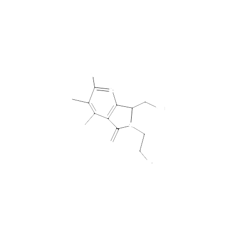 Cc1c(Cl)nc2c(c1C)C(=O)N(CCO)C2CO